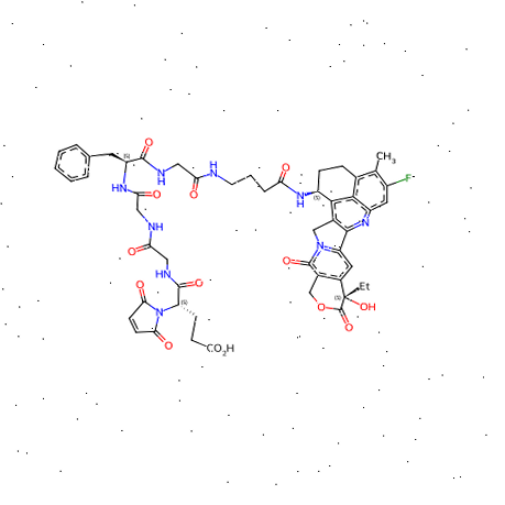 CC[C@@]1(O)C(=O)OCc2c1cc1n(c2=O)Cc2c-1nc1cc(F)c(C)c3c1c2[C@@H](NC(=O)CCCNC(=O)CNC(=O)[C@H](Cc1ccccc1)NC(=O)CNC(=O)CNC(=O)[C@H](CCC(=O)O)N1C(=O)C=CC1=O)CC3